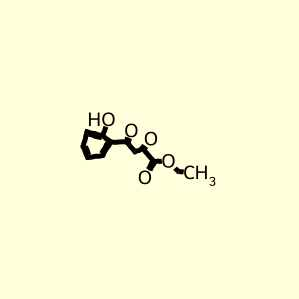 CCOC(=O)C(=O)CC(=O)c1ccccc1O